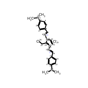 CN(C)c1ccc(/C=N/n2cc[n+](/N=C/c3ccc(N(C)C)cc3)c2CCl)cc1.[Cl-]